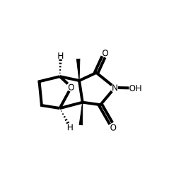 C[C@@]12C(=O)N(O)C(=O)[C@]1(C)[C@H]1CC[C@@H]2O1